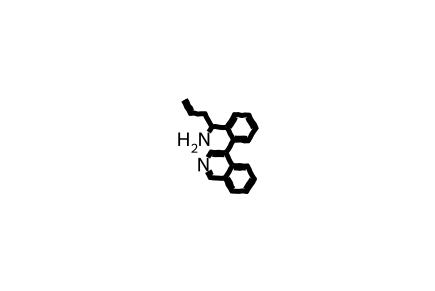 C=CCC(N)c1ccccc1-c1cncc2ccccc12